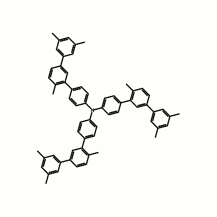 Cc1cc(C)cc(-c2ccc(C)c(-c3ccc(N(c4ccc(-c5cc(-c6cc(C)cc(C)c6)ccc5C)cc4)c4ccc(-c5cc(-c6cc(C)cc(C)c6)ccc5C)cc4)cc3)c2)c1